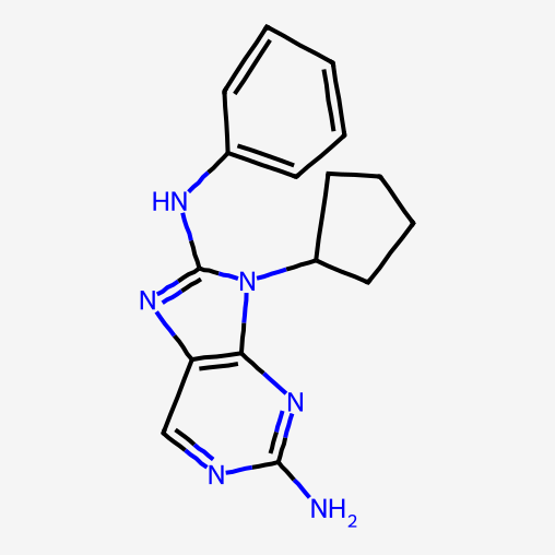 Nc1ncc2nc(Nc3ccccc3)n(C3CCCC3)c2n1